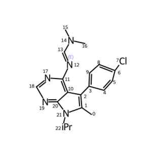 Cc1c(-c2ccc(Cl)cc2)c2c(/N=C/N(C)C)ncnc2n1C(C)C